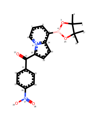 CC1(C)OB(c2cccn3c(C(=O)c4ccc([N+](=O)[O-])cc4)ccc23)OC1(C)C